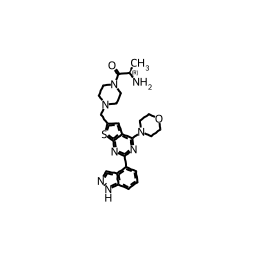 C[C@@H](N)C(=O)N1CCN(Cc2cc3c(N4CCOCC4)nc(-c4cccc5[nH]ncc45)nc3s2)CC1